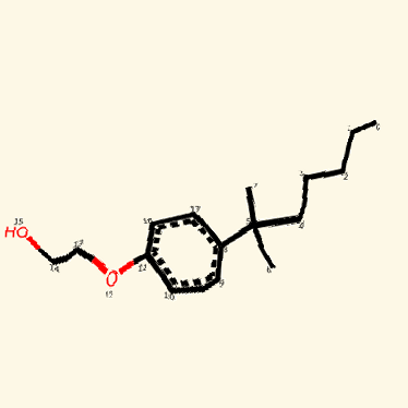 CCCCCC(C)(C)c1ccc(OCCO)cc1